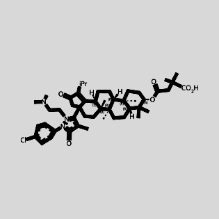 Cc1c(C23CC[C@]4(C)[C@H](CC[C@@H]5[C@@]6(C)CC[C@H](OC(=O)CC(C)(C)C(=O)O)C(C)(C)[C@@H]6CC[C@]54C)C2=C(C(C)C)C(=O)C3)n(CCN(C)C)n(-c2ccc(Cl)cc2)c1=O